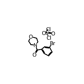 O=C(c1cccc(Br)c1)N1CCOCC1.O=S(=O)(Cl)Cl